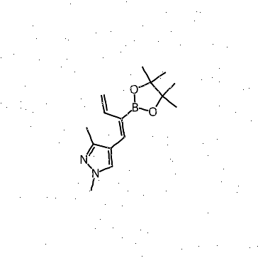 C=C/C(=C\c1cn(C)nc1C)B1OC(C)(C)C(C)(C)O1